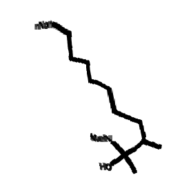 CCCCCCCCCCCCCCCCC(C)C(C)(O)NC